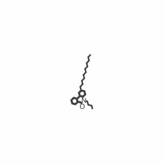 CCCCCCCCCCCCc1ccc2c(c1)c1ccccc1c(=O)n2CCCC